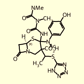 CNC(=O)N(C)C(=O)NC1(N(C(C)=O)c2ccc(O)cc2)S[C@@H]2CC(=O)N2CC1(C(=O)O)C(C)Sc1nnn[nH]1